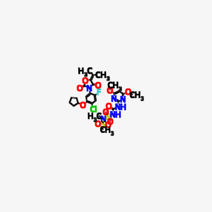 CC(C)=C1OC(=O)N(c2cc(OC3CCCC3)c(Cl)cc2F)C1=O.COc1cc(OC)nc(NC(=O)NS(=O)(=O)N(C)S(C)(=O)=O)n1